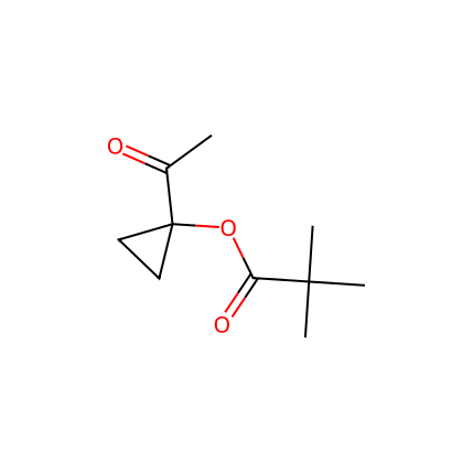 CC(=O)C1(OC(=O)C(C)(C)C)CC1